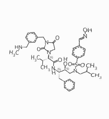 CNCc1cccc(CN2C(=O)CN([C@H](C(=O)N[C@@H](Cc3ccccc3)[C@@H](O)CN(CC(C)C)S(=O)(=O)c3ccc(C=NO)cc3)C(C)C)C2=O)c1